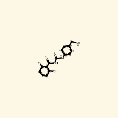 O=C(NC(=O)c1c(Cl)cccc1Cl)Nc1ccc(CS)cc1